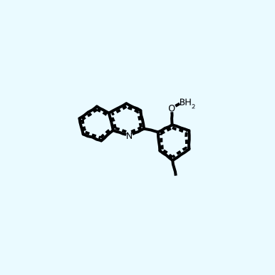 BOc1ccc(C)cc1-c1ccc2ccccc2n1